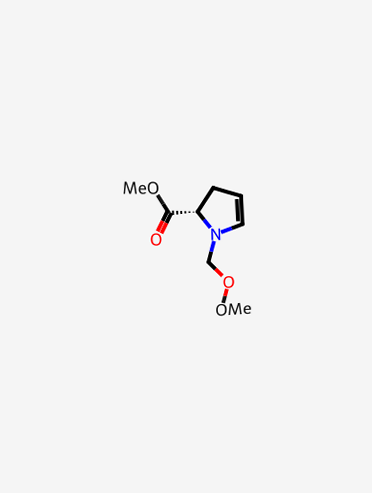 COOCN1C=CC[C@H]1C(=O)OC